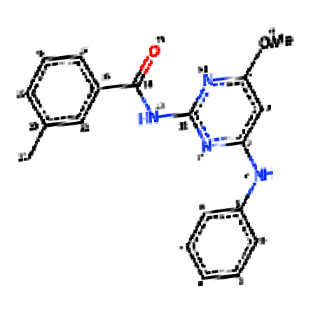 COc1cc(Nc2ccccc2)nc(NC(=O)c2cccc(C)c2)n1